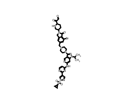 CC(C)n1nc(N2CCN(Cc3cc(Br)c4c(c3)CN(C3CCC(C(=O)C=O)NC3)C4=O)CC2)c2cnc(Nc3ccnc(-c4cnn(S(=O)(=O)C5CC5)c4)n3)cc21